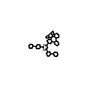 c1ccc(-c2ccc(-c3nc(-c4cccc(-c5ccccc5)c4)cc(-c4ccc5c(c4)-c4ccccc4-c4ccccc4C54c5ccccc5-c5ccccc54)n3)cc2)cc1